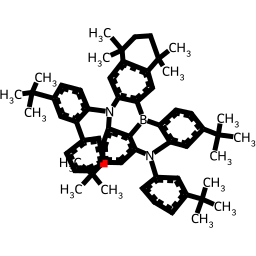 CC(C)(C)c1cccc(N2c3cc(C(C)(C)C)ccc3B3c4cc5c(cc4N(c4ccc(C(C)(C)C)cc4-c4ccccc4)c4cc(C(C)(C)C)cc2c43)C(C)(C)CCC5(C)C)c1